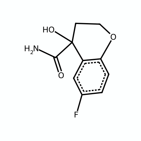 NC(=O)C1(O)CCOc2ccc(F)cc21